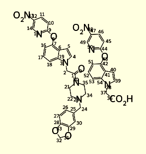 O=C(Cn1ccc2c(Oc3ccc([N+](=O)[O-])cn3)cccc21)N1CCN(Cc2ccc3c(c2)OCO3)CC1.O=C(O)Cn1ccc2c(Oc3ccc([N+](=O)[O-])cn3)cccc21